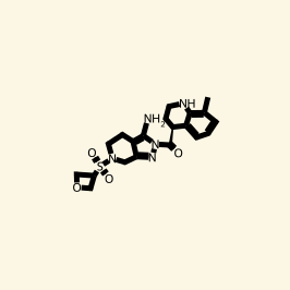 Cc1cccc2c1NCC[C@@H]2C(=O)n1nc2c(c1N)CCN(S(=O)(=O)C1COC1)C2